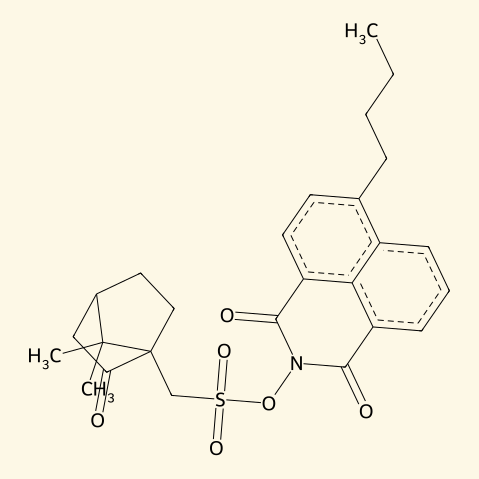 CCCCc1ccc2c3c(cccc13)C(=O)N(OS(=O)(=O)CC13CCC(CC1=O)C3(C)C)C2=O